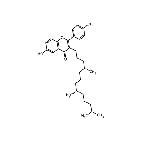 CC(C)CCC[C@@H](C)CCC[C@@H](C)CCCc1c(-c2ccc(O)cc2)oc2ccc(O)cc2c1=O